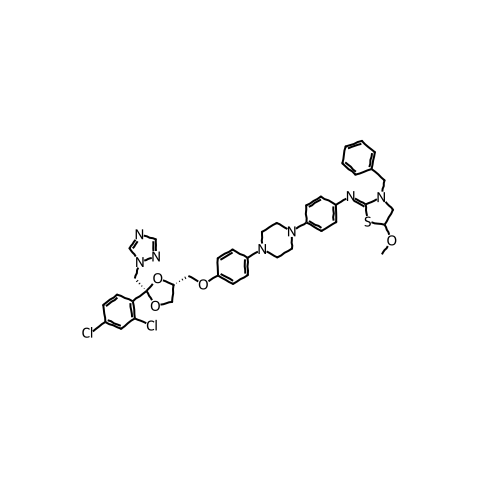 COC1CN(Cc2ccccc2)C(=Nc2ccc(N3CCN(c4ccc(OC[C@@H]5CO[C@@](Cn6cncn6)(c6ccc(Cl)cc6Cl)O5)cc4)CC3)cc2)S1